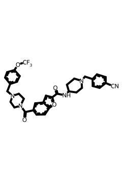 N#Cc1ccc(CN2CCC(NC(=O)c3cc4cc(C(=O)N5CCN(Cc6ccc(OC(F)(F)F)cc6)CC5)ccc4o3)CC2)cc1